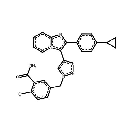 NC(=O)c1cc(Cn2cc(-c3c(-c4ccc(C5CC5)cc4)nc4ccccn34)nn2)ccc1Cl